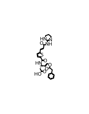 O=C(O)C[C@H](NC(=O)c1ccc(C=CC(=O)NC2=NCCCN2)s1)C1=COC(Cc2ccccc2)O1